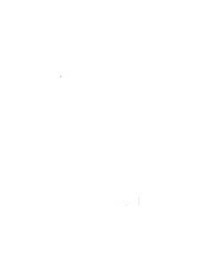 O=C(O)C=CC=CCCCCC1CCCO1